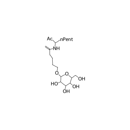 C=C(CCCCOC1OC(CO)C(O)C(O)C1O)NC(CCCCC)C(C)=O